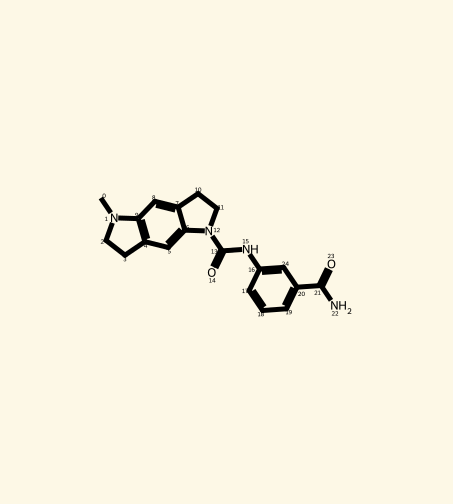 CN1CCc2cc3c(cc21)CCN3C(=O)Nc1cccc(C(N)=O)c1